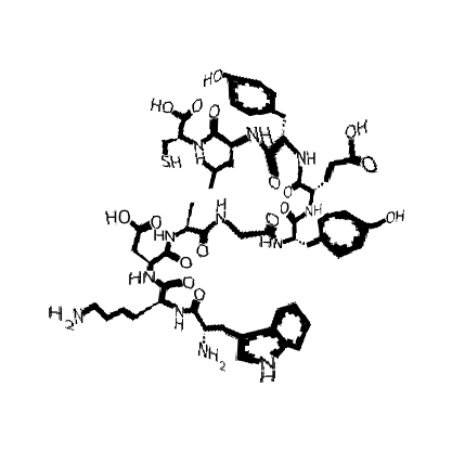 CC(C)C[C@H](NC(=O)[C@H](Cc1ccc(O)cc1)NC(=O)[C@H](CCC(=O)O)NC(=O)[C@H](Cc1ccc(O)cc1)NC(=O)CNC(=O)[C@H](C)NC(=O)[C@H](CC(=O)O)NC(=O)[C@H](CCCCN)NC(=O)[C@@H](N)Cc1c[nH]c2ccccc12)C(=O)N[C@@H](CS)C(=O)O